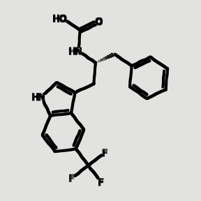 O=C(O)N[C@H](Cc1ccccc1)Cc1c[nH]c2ccc(C(F)(F)F)cc12